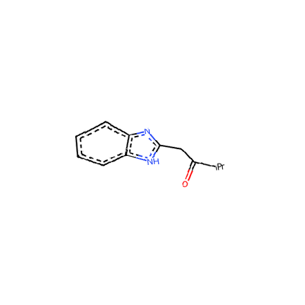 CC(C)C(=O)Cc1nc2ccccc2[nH]1